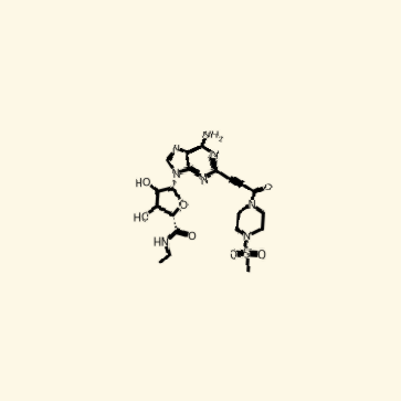 CCNC(=O)[C@H]1O[C@@H](n2cnc3c(N)nc(C#CC(=O)N4CCN(S(C)(=O)=O)CC4)nc32)C(O)C1O